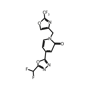 O=c1cc(-c2nnc(C(F)F)o2)ccn1Cc1coc(C(F)(F)F)n1